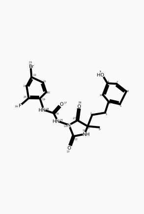 CC1(CCc2cccc(O)c2)NC(=O)N(NC(=O)Nc2ccc(Br)cc2F)C1=O